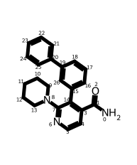 NC(=O)c1ccnc(N2CCCCC2)c1-c1cccc(-c2ccccc2)c1